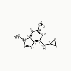 CCCn1cnc2c(NC3CC3)nc(C(F)(F)F)nc21